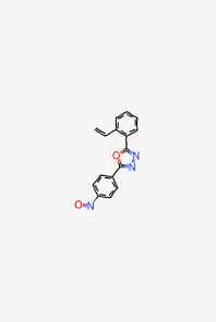 C=Cc1ccccc1-c1nnc(-c2ccc(N=O)cc2)o1